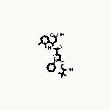 Cc1cccc(C(CC(=O)O)NC(=O)c2cc(OCC(O)C(C)(C)C)n(-c3ccccc3)n2)c1C